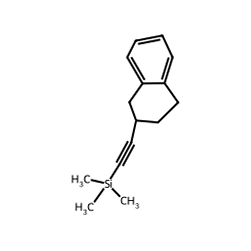 C[Si](C)(C)C#CC1CCc2ccccc2C1